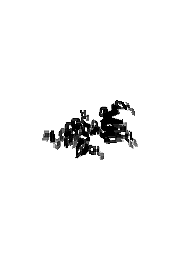 CCCC(=O)c1cnc2c(c1)N(C(=O)CN1C[C@@H](C)N(C(=O)OC(C)(C)C)C[C@@H]1CN1[C@H](C)COC[C@H]1C)CC2(C)C